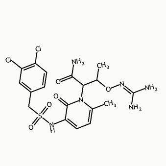 Cc1ccc(NS(=O)(=O)Cc2ccc(Cl)c(Cl)c2)c(=O)n1C(C(N)=O)C(C)ON=C(N)N